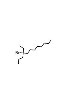 CCCCCCCCC(Br)(CC)CCC